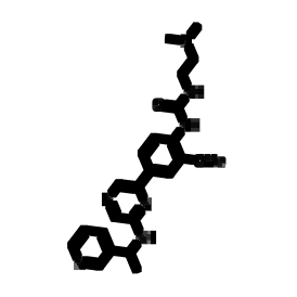 COc1cc(-c2cncc(NC(C)c3cccnc3)n2)ccc1NC(=O)NCCN(C)C